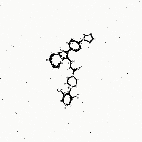 O=C(CNc1c(-c2ccc(N3CCCC3)cc2)nc2ccccn12)N1CCN(c2c(Cl)cncc2Cl)CC1